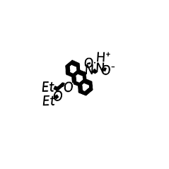 CCOC(CC)COc1c2ccccc2c(N([O])C=[NH+][O-])c2ccccc12